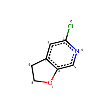 Clc1cc2c(cn1)OCC2